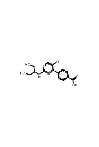 CCC(CO)Nc1ncc(Cl)c(-c2ccc(C(=O)O)cc2)n1